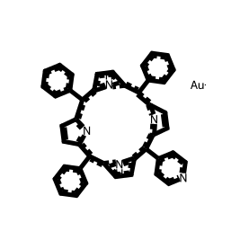 C1=Cc2nc1c(-c1ccccc1)c1ccc([nH]1)c(-c1ccccc1)c1nc(c(-c3ccncc3)c3ccc([nH]3)c2-c2ccccc2)C=C1.[Au]